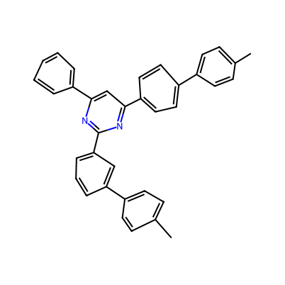 Cc1ccc(-c2ccc(-c3cc(-c4ccccc4)nc(-c4cccc(-c5ccc(C)cc5)c4)n3)cc2)cc1